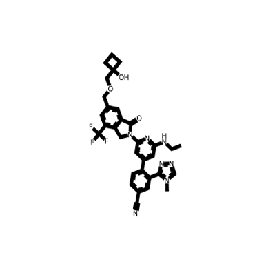 CCNc1cc(-c2ccc(C#N)cc2-c2nncn2C)cc(N2Cc3c(cc(COCC4(O)CCC4)cc3C(F)(F)F)C2=O)n1